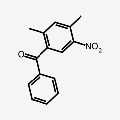 Cc1cc(C)c([N+](=O)[O-])cc1C(=O)c1ccccc1